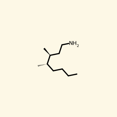 CCCC[C@H](C)[C@@H](C)CCN